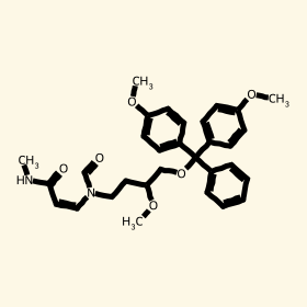 CNC(=O)/C=C\N(C=O)CCC(COC(c1ccccc1)(c1ccc(OC)cc1)c1ccc(OC)cc1)OC